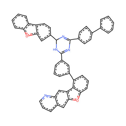 c1ccc(-c2ccc(C3=NC(c4ccc5c(c4)oc4ccccc45)NC(c4cccc(-c5cccc6oc7cc8cccnc8cc7c56)c4)=N3)cc2)cc1